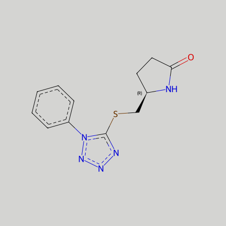 O=C1CC[C@H](CSc2nnnn2-c2ccccc2)N1